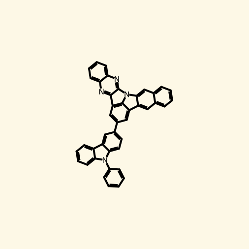 c1ccc(-n2c3ccccc3c3cc(-c4cc5c6cc7ccccc7cc6n6c7nc8ccccc8nc7c(c4)c56)ccc32)cc1